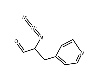 [N-]=[N+]=NC(C=O)Cc1ccncc1